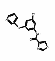 O=C(Nc1cc(Cl)cc(Oc2cccnc2)c1)c1cscn1